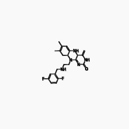 C=C1NC(=O)N=C2C1NC1=CC(C)=C(C)CC1N2CCNCc1cc(F)ccc1F